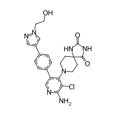 Nc1ncc(-c2ccc(-c3cnn(CCO)c3)cc2)c(N2CCC3(CC2)NC(=O)NC3=O)c1Cl